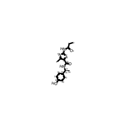 CCC(=O)Nc1nc(C)c(C(=O)N[C@@H](C)c2ccc(O)cc2)s1